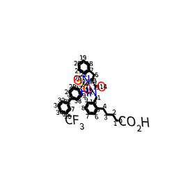 O=C(O)CCCCc1ccccc1CNC(=O)[C@@H]1Cc2ccccc2N1S(=O)(=O)c1ccc(-c2cccc(C(F)(F)F)c2)cc1